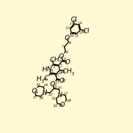 CC1=C(C(=O)OCCCOc2cc(Cl)cc(Cl)c2)C(C)C(C(=O)OC(CN2CCOCC2)CN2CCOCC2)=C(C)N1